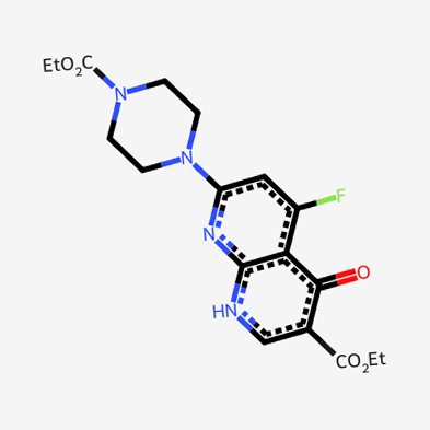 CCOC(=O)c1c[nH]c2nc(N3CCN(C(=O)OCC)CC3)cc(F)c2c1=O